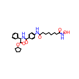 O=C(CCCCCCC(=O)Nc1ccc(C(=O)N[C@H](C(=O)OC2CCCC2)c2ccccc2)cc1)NO